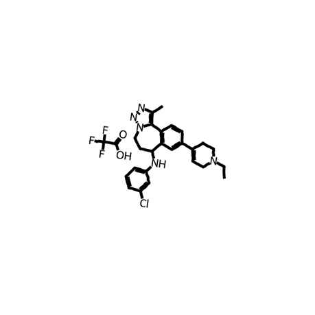 CCN1CC=C(c2ccc3c(c2)C(Nc2cccc(Cl)c2)CCn2nnc(C)c2-3)CC1.O=C(O)C(F)(F)F